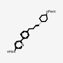 CCCCCCc1ccc(-c2ccc(CCC=C[C@H]3CC[C@H](CCCCC)CC3)cc2)nc1